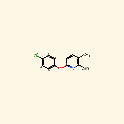 CCCc1nc(Oc2ccc(Cl)cc2)ccc1C